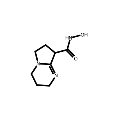 O=C(NO)C1CCN2CCCN=C12